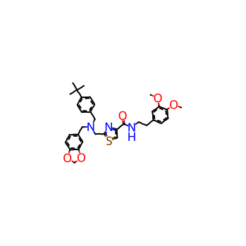 COc1ccc(CCNC(=O)c2csc(CN(Cc3ccc(C(C)(C)C)cc3)Cc3ccc4c(c3)OCO4)n2)cc1OC